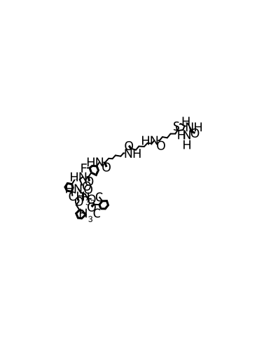 Cc1cccc(C[C@H](NC(=O)c2ccc(NC(=O)CCCCCNC(=O)CCCCCNC(=O)CCCCC3SC[C@H]4NC(=O)N[C@@H]34)cc2F)C(=O)N[C@@H](COCc2ccccc2)C(=O)COC(=O)c2c(C)cccc2C)c1